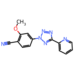 COc1cc(-n2nnc(-c3ccccn3)n2)ccc1C#N